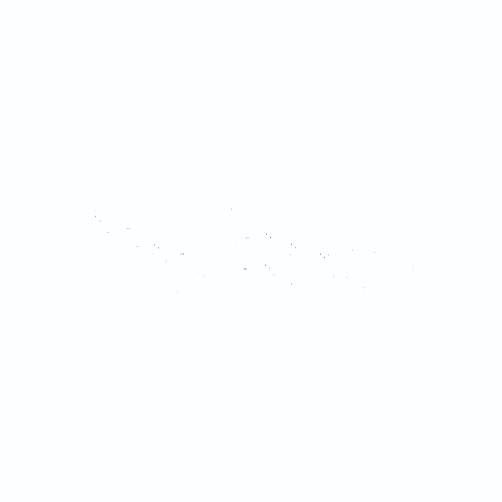 Cc1ccc(CNC(=O)Nc2nc(=O)c(-c3ccc(CNCCCN)c(F)c3)c[nH]2)cc1